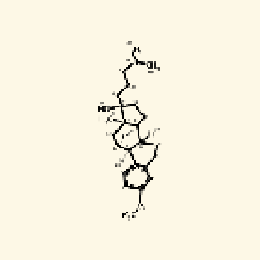 COc1ccc2c(c1)CC[C@@H]1[C@@H]2CC[C@@]2(C)[C@H]1CC[C@@]2(O)CCCN(C)C